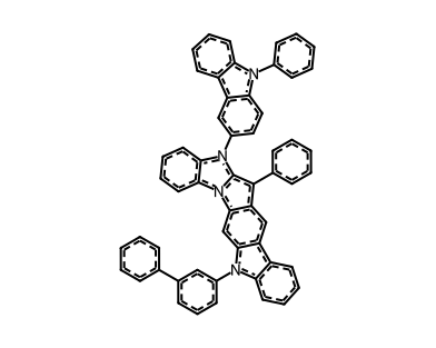 c1ccc(-c2cccc(-n3c4ccccc4c4cc5c(-c6ccccc6)c6n(-c7ccc8c(c7)c7ccccc7n8-c7ccccc7)c7ccccc7n6c5cc43)c2)cc1